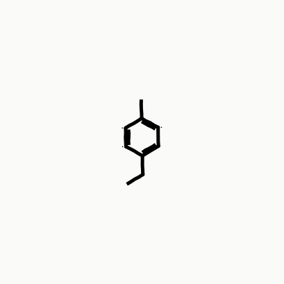 CCc1[c][c]c(C)[c]c1